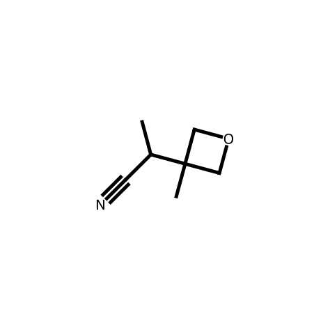 CC(C#N)C1(C)COC1